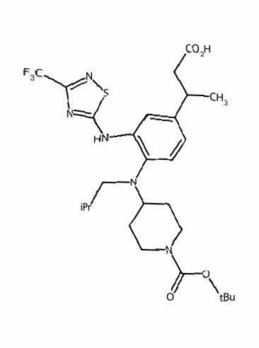 CC(C)CN(c1ccc(C(C)CC(=O)O)cc1Nc1nc(C(F)(F)F)ns1)C1CCN(C(=O)OC(C)(C)C)CC1